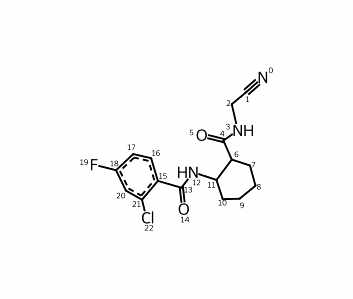 N#CCNC(=O)C1CCCCC1NC(=O)c1ccc(F)cc1Cl